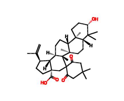 C=C(C)[C@@H]1CC[C@]2(C(=O)O)CC3(C(=O)CC(C)(C)CC3=O)[C@]3(C)[C@H](CC[C@@H]4[C@@]5(C)CC[C@H](O)C(C)(C)[C@@H]5CC[C@]43C)[C@@H]12